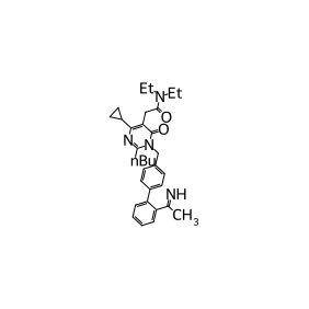 CCCCc1nc(C2CC2)c(CC(=O)N(CC)CC)c(=O)n1Cc1ccc(-c2ccccc2C(C)=N)cc1